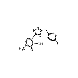 Cn1ccc(-c2nnc(Cc3ccc(F)cc3)o2)c(O)c1=O